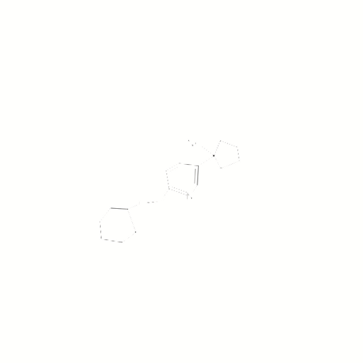 N#CC1(c2ccc(OCC3CCCCC3)nc2)CCCC1